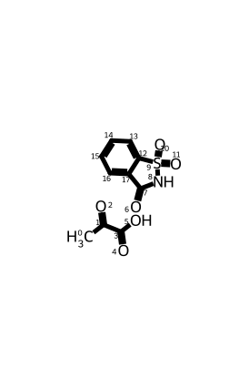 CC(=O)C(=O)O.O=C1NS(=O)(=O)c2ccccc21